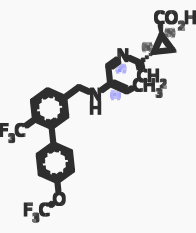 C=C(/N=C\C(=C/C)NCc1ccc(C(F)(F)F)c(-c2ccc(OC(F)(F)F)cc2)c1)[C@H]1C[C@@H]1C(=O)O